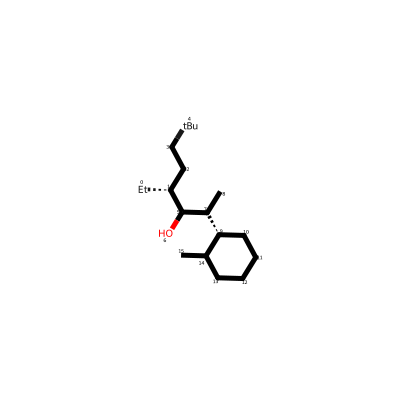 CC[C@H](CCC(C)(C)C)C(O)C(C)[C@@H]1CCCCC1C